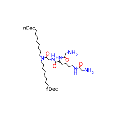 CCCCCCCCCCCCCCCCCCN(CCCCCCCCCCCCCCCCCC)C(=O)CNC(=O)[C@H](CCCCNC(=O)CN)NC(=O)CN